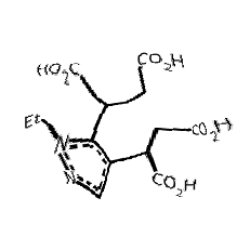 CCn1ncc(C(CC(=O)O)C(=O)O)c1C(CC(=O)O)C(=O)O